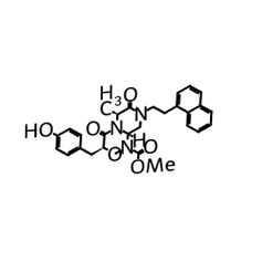 COC(=O)N1O[C@@H](Cc2ccc(O)cc2)C(=O)N2[C@@H]1CN(CCc1cccc3ccccc13)C(=O)[C@@H]2C